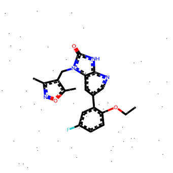 CCOc1ccc(F)cc1-c1cnc2[nH]c(=O)n(Cc3c(C)noc3C)c2c1